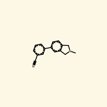 CN1Cc2ccc(-c3cccc(C#N)c3)cc2C1